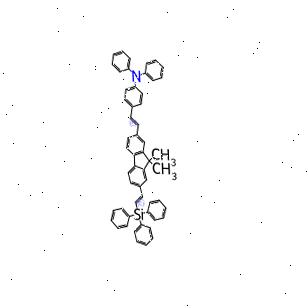 CC1(C)c2cc(/C=C/c3ccc(N(c4ccccc4)c4ccccc4)cc3)ccc2-c2ccc(/C=C/[Si](c3ccccc3)(c3ccccc3)c3ccccc3)cc21